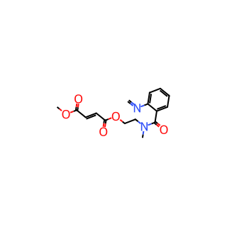 C=Nc1ccccc1C(=O)N(C)CCOC(=O)/C=C/C(=O)OC